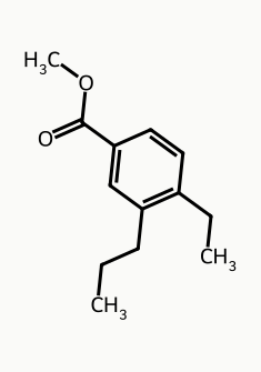 CCCc1cc(C(=O)OC)ccc1CC